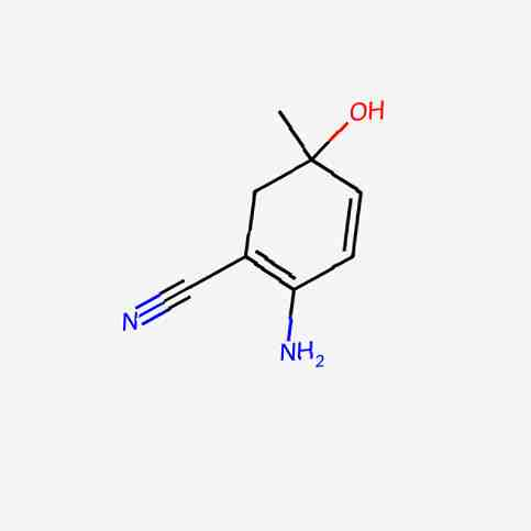 CC1(O)C=CC(N)=C(C#N)C1